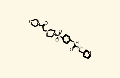 O=C(NCc1cccnc1)Nc1ccc(S(=O)(=O)N2CCN(CC(=O)N3CCOCC3)CC2)cc1